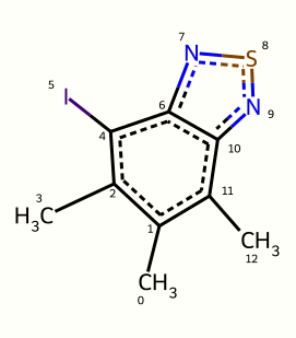 Cc1c(C)c(I)c2nsnc2c1C